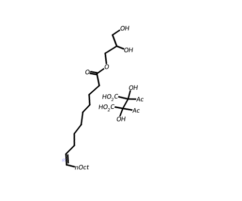 CC(=O)C(O)(C(=O)O)C(O)(C(C)=O)C(=O)O.CCCCCCCC/C=C\CCCCCCCC(=O)OCC(O)CO